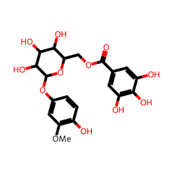 COc1cc(OC2OC(COC(=O)c3cc(O)c(O)c(O)c3)C(O)C(O)C2O)ccc1O